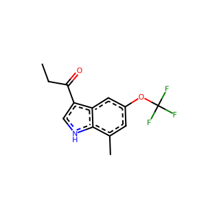 CCC(=O)c1c[nH]c2c(C)cc(OC(F)(F)F)cc12